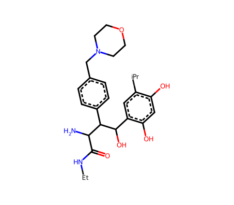 CCNC(=O)C(N)C(c1ccc(CN2CCOCC2)cc1)C(O)c1cc(C(C)C)c(O)cc1O